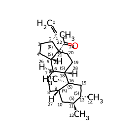 C=C[C@H]1CC[C@H]2[C@@H]3CC[C@H]4C[C@H](C)[C@@H](C)C[C@]4(C)[C@H]3CC[C@]12C(C)=O